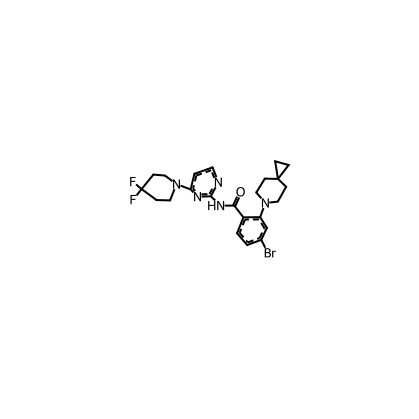 O=C(Nc1nccc(N2CCC(F)(F)CC2)n1)c1ccc(Br)cc1N1CCC2(CC1)CC2